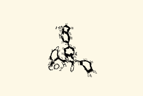 O=C(O)N1CCOCC1Cn1c(=O)n(C2=CCCCC2)c2ncc(-c3cnc4[nH]ccc4c3)cc21